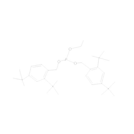 CCOP(OCc1ccc(C(C)(C)C)cc1C(C)(C)C)OCc1ccc(C(C)(C)C)cc1C(C)(C)C